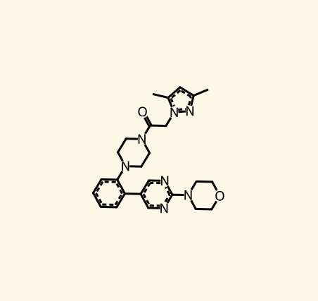 Cc1cc(C)n(CC(=O)N2CCN(c3ccccc3-c3cnc(N4CCOCC4)nc3)CC2)n1